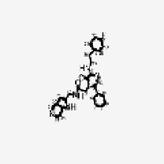 O=C(Cn1c(-c2ccccc2)cnc(NCCc2ccc(F)cc2)c1=O)NCc1cc2cnccc2[nH]1